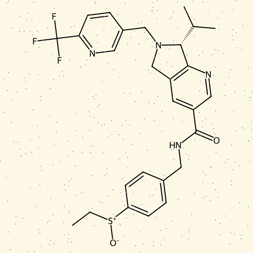 CC[S+]([O-])c1ccc(CNC(=O)c2cnc3c(c2)CN(Cc2ccc(C(F)(F)F)nc2)[C@@H]3C(C)C)cc1